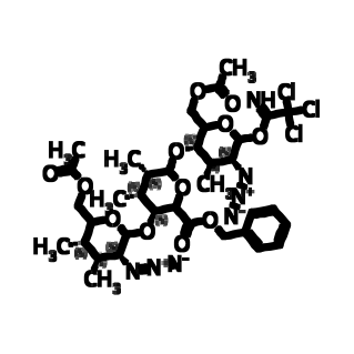 CC(=O)OCC1OC(O[C@@H]2C(C(=O)OCc3ccccc3)OC(O[C@@H]3C(COC(C)=O)OC(OC(=N)C(Cl)(Cl)Cl)[C@@H](N=[N+]=[N-])[C@H]3C)[C@@H](C)[C@H]2C)[C@@H](N=[N+]=[N-])[C@@H](C)[C@@H]1C